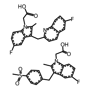 Cc1c(Cc2ccc(S(C)(=O)=O)cc2)c2cc(F)ccc2n1CC(=O)O.Cc1c(Cc2ccc3cc(F)ccc3n2)c2cc(F)ccc2n1CC(=O)O